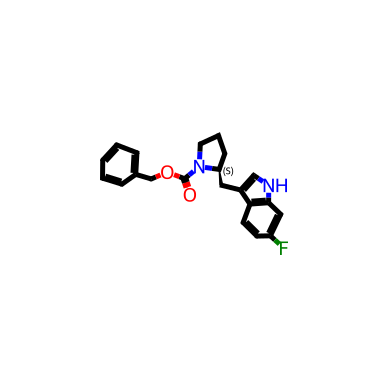 O=C(OCc1ccccc1)N1CCC[C@H]1Cc1c[nH]c2cc(F)ccc12